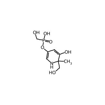 CC1(CO)NC=C(OP(=O)(O)CO)C=C1O